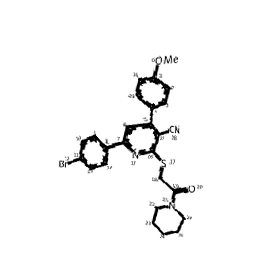 COc1ccc(-c2cc(-c3ccc(Br)cc3)nc(SCC(=O)N3CCCCC3)c2C#N)cc1